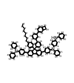 CCCCCCCCc1ccc(C2(c3cccc(-c4cccc(-c5ccc6c(c5)CC6)c4)c3)c3cc(-c4ccc(N(c5ccccc5)c5ccccc5)cc4)ccc3-c3ccc(-c4ccc(N(c5ccccc5)c5ccc(Nc6ccccc6)cc5)cc4)cc32)cc1